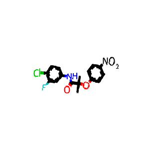 CC(C)(Oc1ccc([N+](=O)[O-])cc1)C(=O)Nc1ccc(Cl)c(F)c1